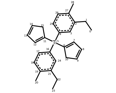 CCc1c[c]([Ti]([C]2=CC=CC2)([C]2=CC=CC2)[c]2ccc(C)c(CC)c2)ccc1C